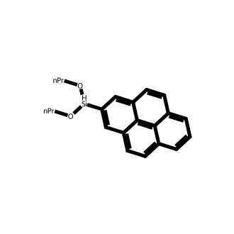 CCCO[SiH](OCCC)c1cc2ccc3cccc4ccc(c1)c2c34